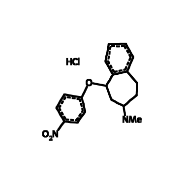 CNC1CCc2ccccc2C(Oc2ccc([N+](=O)[O-])cc2)C1.Cl